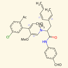 C=C/C=C\C(=C/C)CC(C(=O)Nc1ccc(C=O)cc1)N(C)/C=C(OC)\C(=C/C=O)c1cc(Cl)ccc1C(C)=O